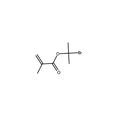 C=C(C)C(=O)OC(C)(C)Br